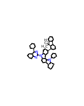 CC1(C)c2ccccc2-c2cccc(-c3ccc4c(c3)c3c(ccc5c6ccccc6n(-c6ccccc6)c53)n4-c3nc(-c4ccccc4)c4ccccc4n3)c21